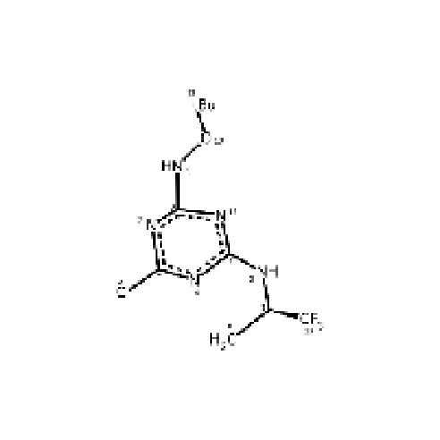 C[C@@H](Nc1nc(Cl)nc(NOC(C)(C)C)n1)C(F)(F)F